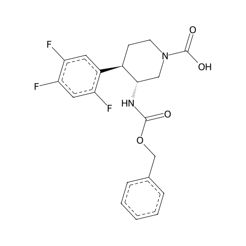 O=C(N[C@H]1CN(C(=O)O)CC[C@@H]1c1cc(F)c(F)cc1F)OCc1ccccc1